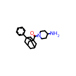 NC1CCN(C(=O)C23CC4CC(C2)CC(c2ccccc2)(C4)C3)CC1